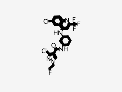 O=C(N[C@@H]1CCC[C@H](Nc2cc(C(F)(F)F)nc3ccc(Cl)cc23)C1)c1cn(CCF)nc1Cl